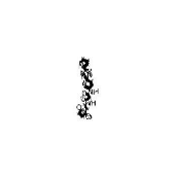 O=C(CC(=O)Nc1ccc(-c2nnc(-c3ccccn3)nn2)nc1)NCCN1C(=O)C=CC1=O